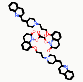 O=C(ON1C(=O)CCc2cccc(OCCCN3CCC(=Cc4ccc5ccccc5n4)CC3)c21)C(=O)ON1C(=O)CCc2cccc(OCCCN3CCC(=Cc4ccc5ccccc5n4)CC3)c21